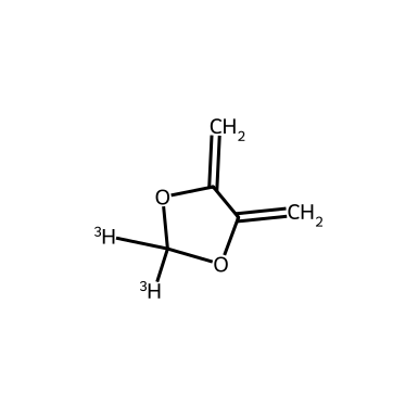 [3H]C1([3H])OC(=C)C(=C)O1